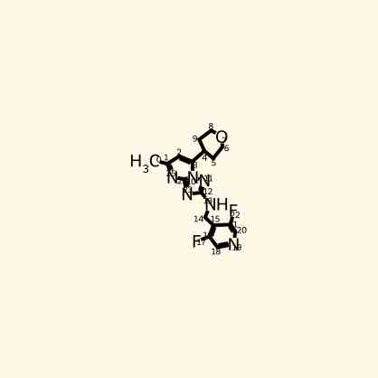 Cc1cc(C2CCOCC2)n2nc(NCc3c(F)cncc3F)nc2n1